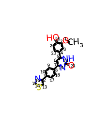 COc1cc(-c2cc(-c3ccc(-c4cscn4)cc3)nc(=O)[nH]2)ccc1O